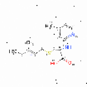 CC/C(C)=C/CSCC(Nc1cc(C)ccn1)C(=O)O